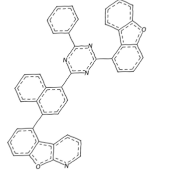 c1ccc(-c2nc(-c3ccc(-c4cccc5oc6ncccc6c45)c4ccccc34)nc(-c3cccc4oc5ccccc5c34)n2)cc1